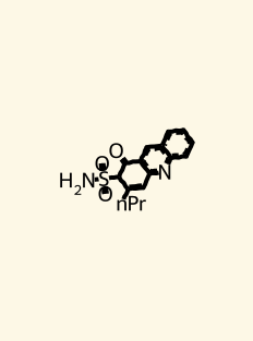 CCCC1=Cc2nc3ccccc3cc2C(=O)C1S(N)(=O)=O